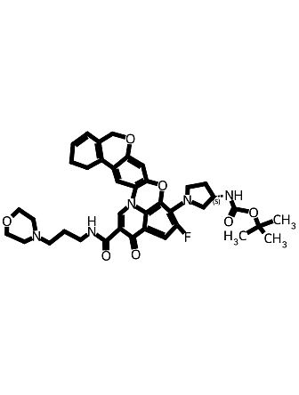 CC(C)(C)OC(=O)N[C@H]1CCN(c2c(F)cc3c(=O)c(C(=O)NCCCN4CCOCC4)cn4c3c2Oc2cc3c(cc2-4)C2=C(C=CCC2)CO3)C1